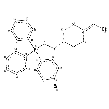 CCC=C1CCC(CC[P+](c2ccccc2)(c2ccccc2)c2ccccc2)CC1.[Br-]